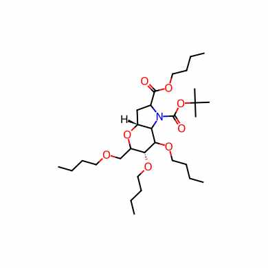 CCCCOCC1O[C@@H]2CC(C(=O)OCCCC)N(C(=O)OC(C)(C)C)C2C(OCCCC)[C@@H]1OCCCC